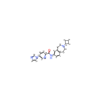 O=C(Nc1ccc2c(c1)CCN(C1CCC1)CC2)c1ccc(-n2ccnc2)cn1